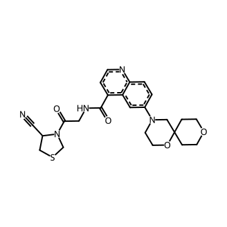 N#CC1CSCN1C(=O)CNC(=O)c1ccnc2ccc(N3CCOC4(CCOCC4)C3)cc12